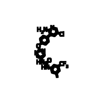 Cc1cc(NC(=O)Nc2cnc(Oc3ccc(-c4cc(Cl)cnc4N)cc3)nc2)cc(C(F)(F)F)c1